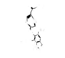 Cc1c2c(cc(O)c1Oc1cnc(C(=O)O)cn1)COB2